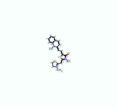 CCN1/C(=C/C=c2\s/c(=C\C3=[N+](C)CCS3)n(CC)c2=O)C=Cc2ccccc21